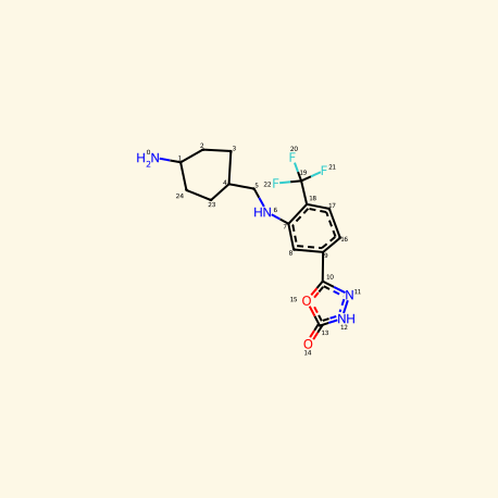 NC1CCC(CNc2cc(-c3n[nH]c(=O)o3)ccc2C(F)(F)F)CC1